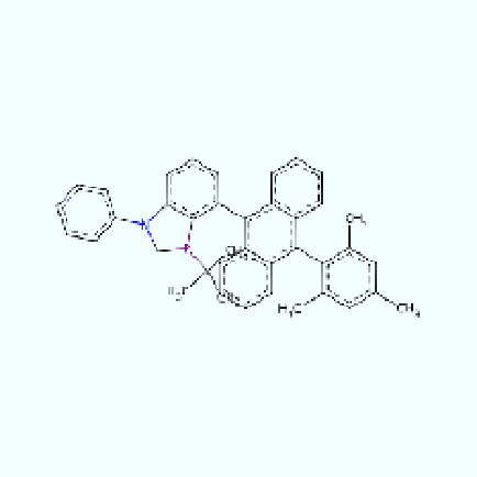 Cc1cc(C)c(-c2c3ccccc3c(-c3cccc4c3P(C(C)(C)C)CN4c3ccccc3)c3ccccc23)c(C)c1